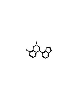 CN1Cc2c(F)cccc2C(c2cccc3ccsc23)C1